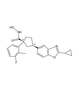 Cc1c(F)cccc1[C@]1(C(=O)NO)CC[C@@H](c2ccc3oc(C4CC4)nc3c2)C1